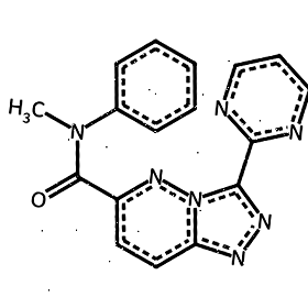 CN(C(=O)c1ccc2nnc(-c3ncccn3)n2n1)c1ccccc1